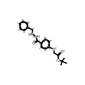 CC(C)(C)OC(=O)COc1ccc(C(=O)NNCc2ccccc2)cc1